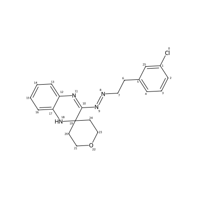 Clc1cccc(CCN=NC2=Nc3ccccc3NC23CCOCC3)c1